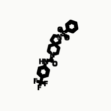 O=C(Nc1ccc(C(F)(F)F)cc1)N1CCC2(CC1)CCN(S(=O)(=O)c1ccccc1)C2